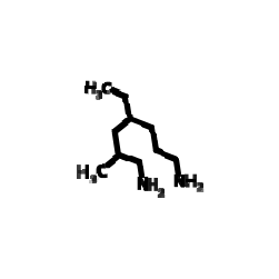 CCC(CCCN)CC(C)CN